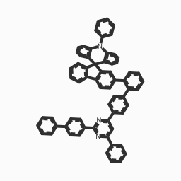 c1ccc(-c2ccc(-c3nc(-c4ccccc4)cc(-c4ccc(-c5ccccc5-c5ccc6c(c5)C5(c7ccccc7-6)c6ccccc6N(c6ccccc6)c6ccccc65)cc4)n3)cc2)cc1